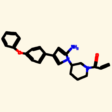 C=CC(=O)N1CCCC(n2cc(-c3ccc(Oc4ccccc4)cc3)cc2N)C1